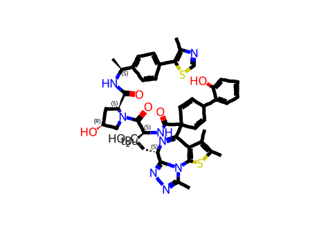 Cc1ncsc1-c1ccc([C@H](C)NC(=O)[C@@H]2C[C@@H](O)CN2C(=O)[C@@H](NC(=O)C2(C3=N[C@@H](CC(=O)O)c4nnc(C)n4-c4sc(C)c(C)c43)C=CC(c3ccccc3O)C=C2)C(C)(C)C)cc1